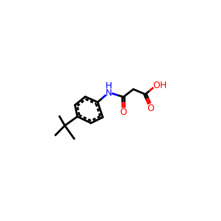 CC(C)(C)c1ccc(NC(=O)CC(=O)O)cc1